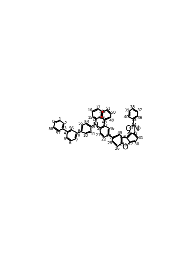 c1ccc(-c2cccc(-c3ccc(N(c4ccccc4)c4ccc(-c5ccc6oc7ccc8nc(-c9ccccc9)oc8c7c6c5)cc4-c4ccccc4)cc3)c2)cc1